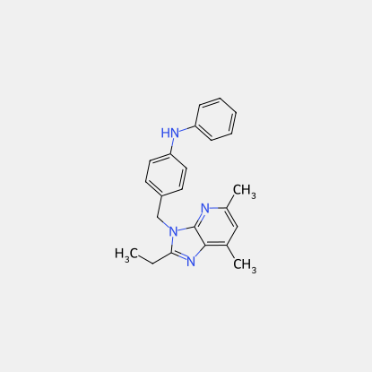 CCc1nc2c(C)cc(C)nc2n1Cc1ccc(Nc2ccccc2)cc1